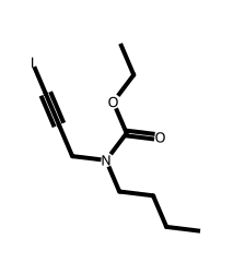 CCCCN(CC#CI)C(=O)OCC